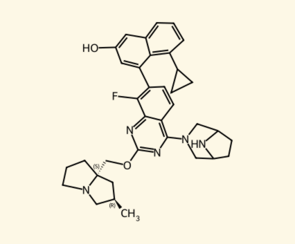 C[C@H]1CN2CCC[C@@]2(COc2nc(N3CC4CCC(C3)N4)c3ccc(-c4cc(O)cc5cccc(C6CC6)c45)c(F)c3n2)C1